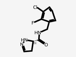 O=C(NCc1cccc(Cl)c1F)[C@@H]1CC=NN1